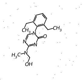 CCc1cccc(CC)c1-n1cnc(N(C)CO)nc1=O